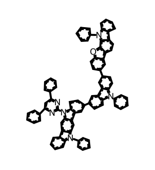 c1ccc(-c2cc(-c3ccccc3)nc(-n3c4ccc(-c5ccc6c(c5)c5cc(-c7ccc8oc9c(ccc%10c%11ccccc%11n(-c%11ccccc%11)c%109)c8c7)ccc5n6-c5ccccc5)cc4c4cc5c(cc43)c3ccccc3n5-c3ccccc3)n2)cc1